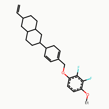 C=CC1CCC2CC(C3C=CC(COc4ccc(OCC)c(F)c4F)=CC3)CCC2C1